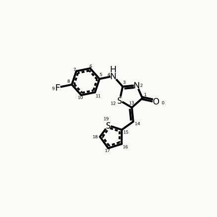 O=C1N=C(Nc2ccc(F)cc2)S/C1=C\c1cccs1